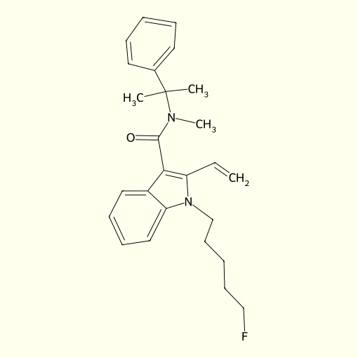 C=Cc1c(C(=O)N(C)C(C)(C)c2ccccc2)c2ccccc2n1CCCCCF